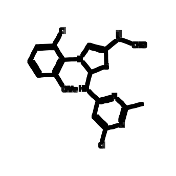 COc1cccc(Cl)c1N1C=C(NC=O)SC1Nc1cc(Cl)nc(C)n1